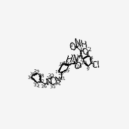 NC(=O)c1oc2cc(Cl)ccc2c1NC(=O)c1cccc(CN2CCN(Cc3ccccc3)CC2)c1